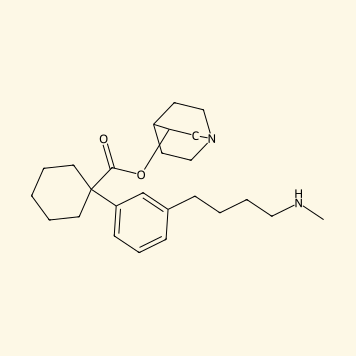 CNCCCCc1cccc(C2(C(=O)OC3CN4CCC3CC4)CCCCC2)c1